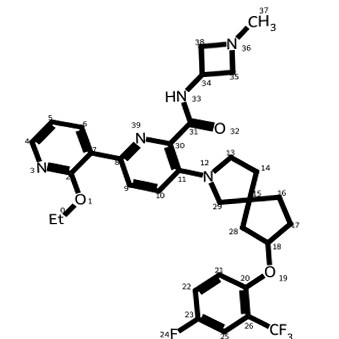 CCOc1ncccc1-c1ccc(N2CCC3(CCC(Oc4ccc(F)cc4C(F)(F)F)C3)C2)c(C(=O)NC2CN(C)C2)n1